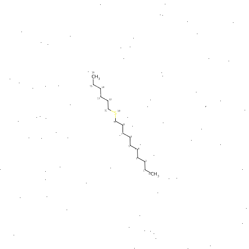 CCCCCCCCC[CH]SCCCCCC